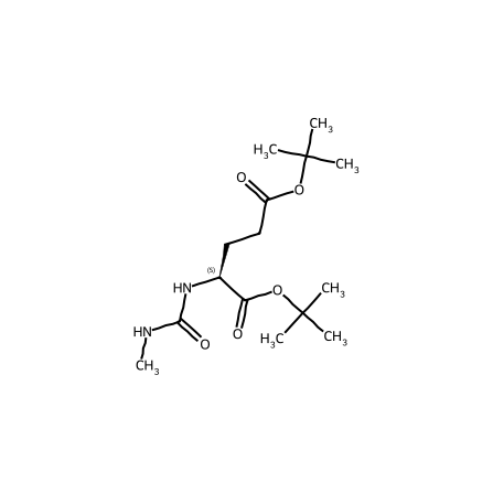 CNC(=O)N[C@@H](CCC(=O)OC(C)(C)C)C(=O)OC(C)(C)C